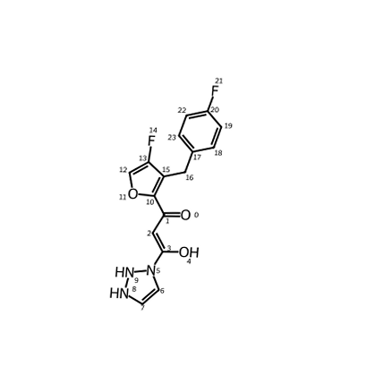 O=C(C=C(O)N1C=CNN1)c1occ(F)c1Cc1ccc(F)cc1